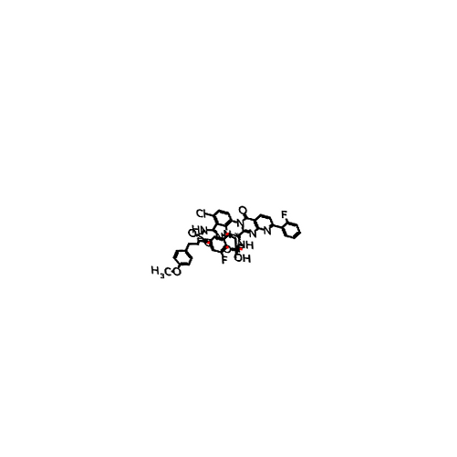 COc1ccc(CCS(=O)(=O)Nc2nn(CC(F)(F)F)c3c(-n4c([C@H](Cc5cc(F)cc(F)c5)NC(=O)O)nc5nc(-c6ccccc6F)ccc5c4=O)ccc(Cl)c23)cc1